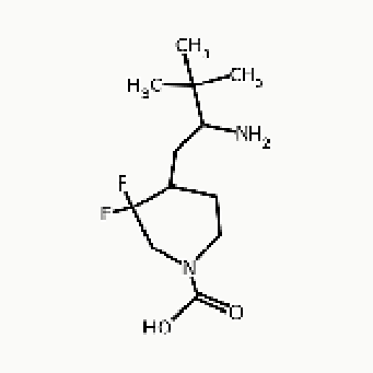 CC(C)(C)C(N)CC1CCN(C(=O)O)CC1(F)F